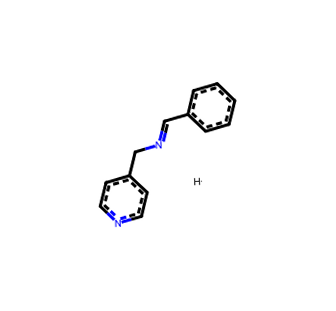 C(=NCc1ccncc1)c1ccccc1.[H]